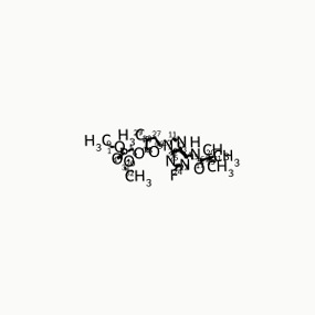 CCOP(=O)(CO[C@H]1O[C@@H](n2cnc3c(NC(=O)C(C)(C)C)nc(F)nc32)C[C@@H]1C)OCC